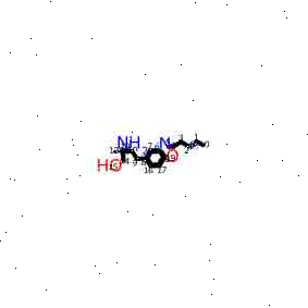 C/C=C/Cc1nc2cc(CC[C@@](C)(N)CO)ccc2o1